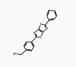 CC(C)Cc1ccc(-c2nc3sc(-c4ccccc4)nc3s2)cc1